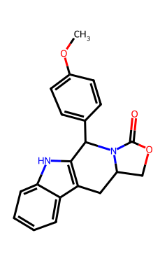 COc1ccc(C2c3[nH]c4ccccc4c3CC3COC(=O)N32)cc1